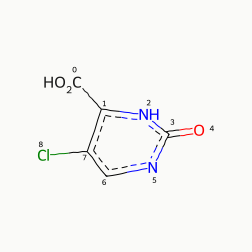 O=C(O)c1[nH]c(=O)ncc1Cl